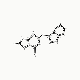 Cc1cn2c(=O)cc(Cn3cnc4ccccc43)nc2s1